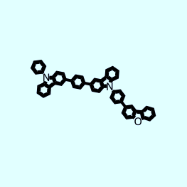 c1ccc(-n2c3ccccc3c3cc(-c4ccc(-c5ccc6c(c5)c5ccccc5n6-c5ccc(-c6ccc7oc8ccccc8c7c6)cc5)cc4)ccc32)cc1